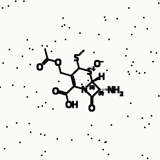 CSC1C(COC(C)=O)=C(C(=O)O)N2C(=O)[C@@H](N)[C@H]2[S+]1[O-]